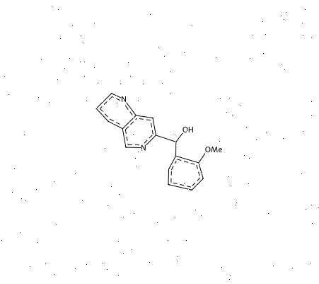 COc1ccccc1C(O)c1cc2ncccc2cn1